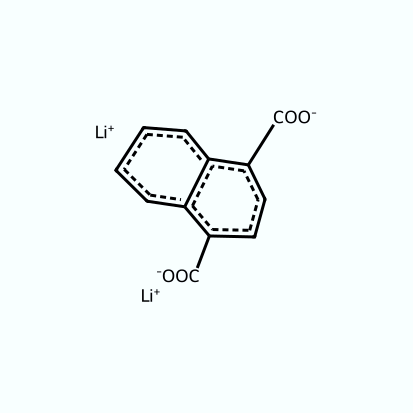 O=C([O-])c1ccc(C(=O)[O-])c2ccccc12.[Li+].[Li+]